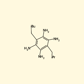 CCC(C)Cc1c(N)c(N)c(CC(C)C)c(N)c1N